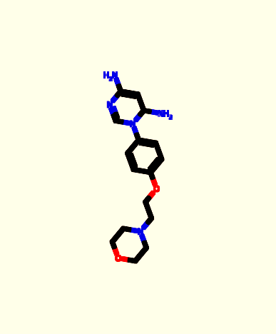 NC1=CC(N)N(c2ccc(OCCN3CCOCC3)cc2)C=N1